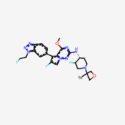 [2H]C1(N2CC[C@@H](Nc3nc(OC)c4c(-c5ccc6nnn(CCF)c6c5)c(F)cn4n3)[C@H](F)C2)COC1